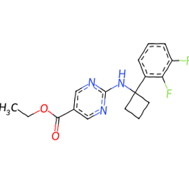 CCOC(=O)c1cnc(NC2(c3cccc(F)c3F)CCC2)nc1